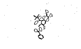 CO/C=C(/Oc1ccc(F)c(COC(=O)c2ccccc2)c1C(=O)OC(C)(C)C)C(=O)OC